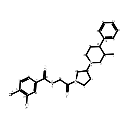 CC1CN(C2CCN(C(=O)CNC(=O)c3ccc(Cl)c(Cl)c3)C2)CCC1c1ccccc1